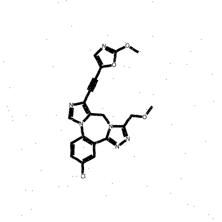 COCc1nnc2n1Cc1c(C#Cc3cnc(OC)o3)ncn1-c1ccc(Cl)cc1-2